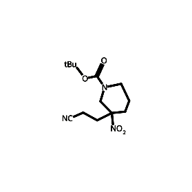 CC(C)(C)OC(=O)N1CCCC(CCC#N)([N+](=O)[O-])C1